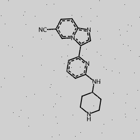 N#Cc1ccc2ncc(-c3cccc(NC4CCNCC4)n3)n2c1